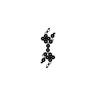 C=Cc1ccc(Oc2ccc(C3(c4ccc(OCCOCC)cc4)c4ccccc4-c4ccc(N(c5ccc(F)cc5)c5ccc(-c6ccc(N(c7ccc(F)cc7)c7ccc8c(c7)C(c7ccc(OCCOCC)cc7)(c7ccc(Oc9ccc(C=C)cc9)cc7)c7ccccc7-8)cc6)cc5)cc43)cc2)cc1